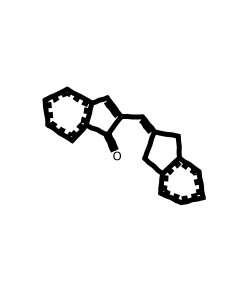 O=C1C(C=C2Cc3ccccc3C2)=Cc2ccccc21